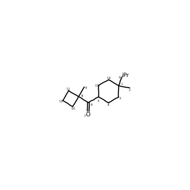 CC(C)C1(C)CCC(C(=O)C2(C)CCC2)CC1